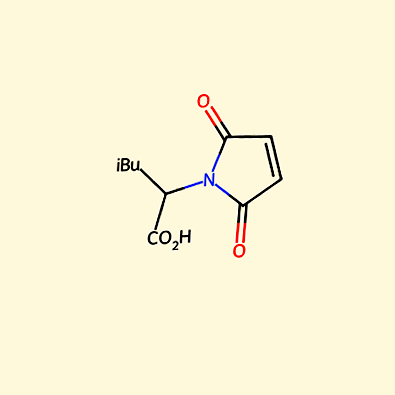 CCC(C)C(C(=O)O)N1C(=O)C=CC1=O